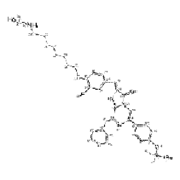 CC(C)(C)[Si](C)(C)Oc1ccc(C2=CN3C(=O)C(=Cc4ccc(OCCCCCCCCNC(=O)O)c(F)c4)N=C3C(Cc3ccccc3)=N2)cc1